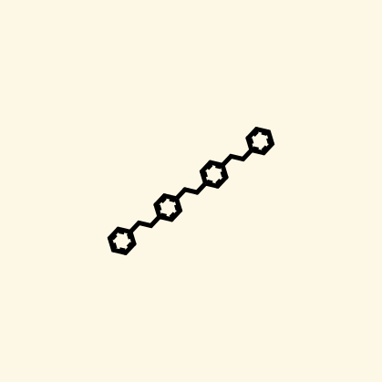 c1ccc(CCc2ccc(CCc3ccc(CCc4ccccc4)cc3)cc2)cc1